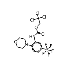 O=C(Nc1cc(S(F)(F)(F)(F)F)ccc1N1CCOCC1)OCC(Cl)(Cl)Cl